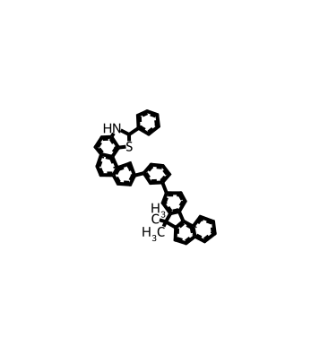 CC1(C)c2cc(-c3cccc(-c4ccc5ccc6ccc7c(c6c5c4)SC(c4ccccc4)N7)c3)ccc2-c2c1ccc1ccccc21